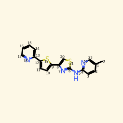 Cc1ccc(Nc2nc(-c3ccc(-c4ccccn4)s3)cs2)nc1